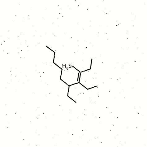 CCCCCC(CC)C(CC)=C([SiH3])CC